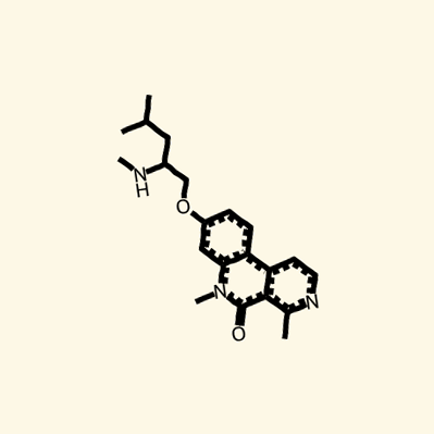 CNC(COc1ccc2c3ccnc(C)c3c(=O)n(C)c2c1)CC(C)C